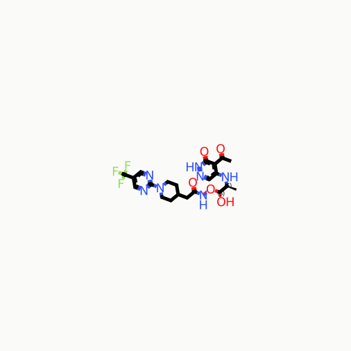 CC(=O)c1c(N[C@@H](C)[C@@H](O)ONC(=O)CC2CCN(c3ncc(C(F)(F)F)cn3)CC2)cn[nH]c1=O